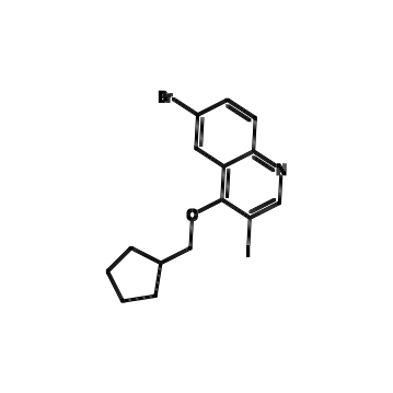 Brc1ccc2ncc(I)c(OCC3CCCC3)c2c1